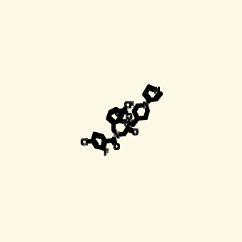 O=C(c1ccc(Cl)cc1F)N1CC(=O)[N+](CC2CCN(c3ccncc3)CC2)(OC(=O)C(F)(F)F)c2ccccc2C1